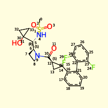 CS(=O)(=O)N[C@H]([C@@H]1CCN1C(=O)[C@@H]1C[C@@]1(F)c1ccccc1-c1c(F)cccc1F)C1(O)CC1